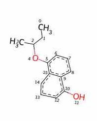 CCC(C)Oc1cccc2c(O)cccc12